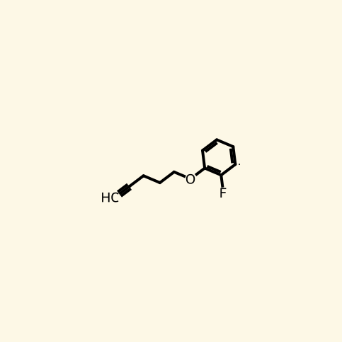 C#CCCCOc1ccc[c]c1F